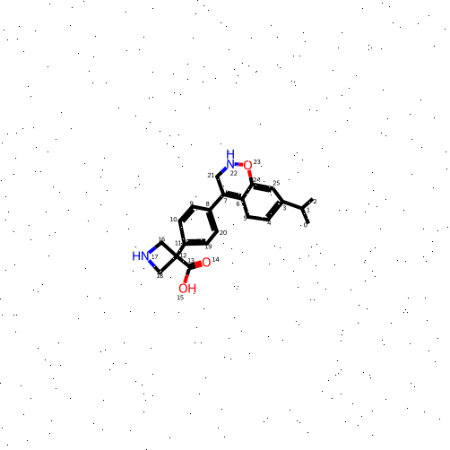 CC(C)C1=CCC2=C(c3ccc(C4(C(=O)O)CNC4)cc3)CNOC2=C1